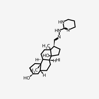 C[C@]12CC[C@H](O)C[C@H]1CC[C@@H]1[C@@H]2CC[C@]2(C)[C@@H](C=NNC3=NCCCN3)CC[C@]12O.I